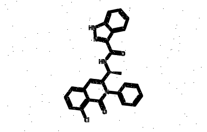 C[C@H](NC(=O)c1n[nH]c2ccccc12)c1cc2cccc(Cl)c2c(=O)n1-c1ccccc1